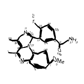 COc1ccc2nc(C)c3c(C)nc(-c4cc(C(N)=O)ccc4F)n3c2c1